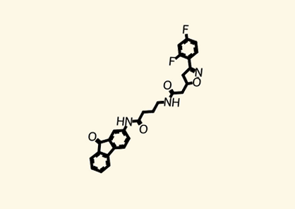 O=C(CC1CC(c2ccc(F)cc2F)=NO1)NCCCC(=O)Nc1ccc2c(c1)C(=O)c1ccccc1-2